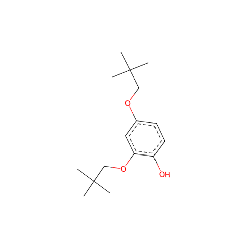 CC(C)(C)COc1ccc(O)c(OCC(C)(C)C)c1